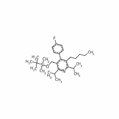 CCCCCc1c(C(C)C)nc(C(C)C)c(CO[Si](C)(C)C(C)(C)C)c1-c1ccc(F)cc1